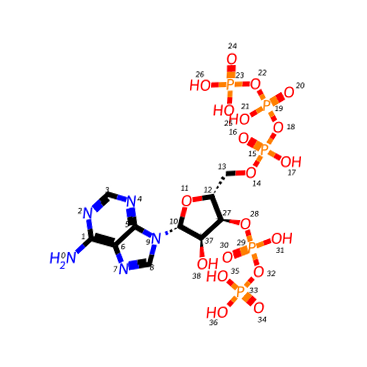 Nc1ncnc2c1ncn2[C@@H]1O[C@H](COP(=O)(O)OP(=O)(O)OP(=O)(O)O)[C@@H](OP(=O)(O)OP(=O)(O)O)[C@H]1O